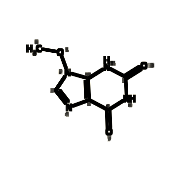 COn1cnc2c(=O)[nH]c(=O)[nH]c21